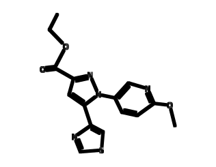 CCOC(=O)c1cc(-c2cscn2)n(-c2ccc(OC)nc2)n1